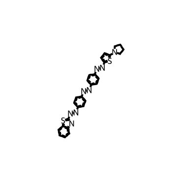 c1ccc2sc(N=Nc3ccc(N=Nc4ccc(N=Nc5ccc(N6CCCC6)s5)cc4)cc3)nc2c1